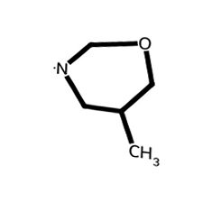 CC1C[N]COC1